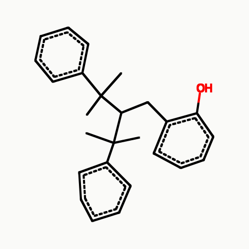 CC(C)(c1ccccc1)C(Cc1ccccc1O)C(C)(C)c1ccccc1